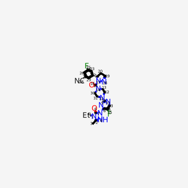 CCN(C(C)=N)C(=O)Nc1nc(N2CCN(C(=O)N3N=CC[C@H]3c3cc(F)cc(C#N)c3)CC2)ncc1F